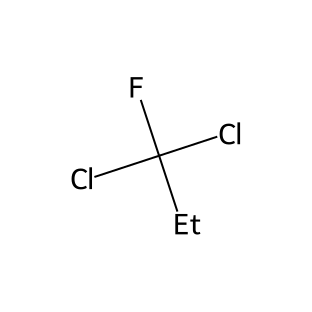 CCC(F)(Cl)Cl